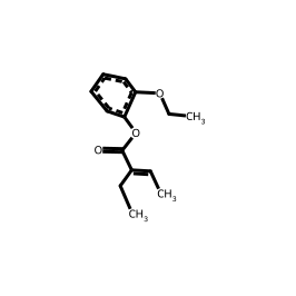 CC=C(CC)C(=O)Oc1ccccc1OCC